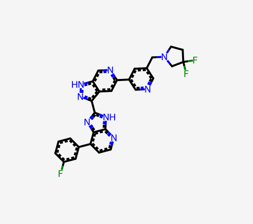 Fc1cccc(-c2ccnc3[nH]c(-c4n[nH]c5cnc(-c6cncc(CN7CCC(F)(F)C7)c6)cc45)nc23)c1